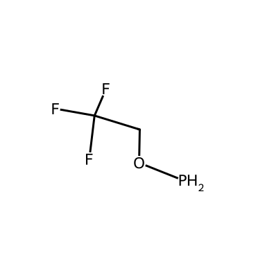 FC(F)(F)COP